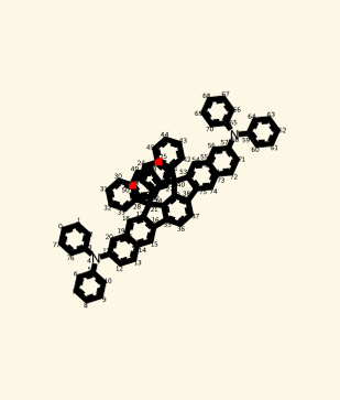 c1ccc(N(c2ccccc2)c2ccc3cc4c(cc3c2)C(c2ccccc2)(c2ccccc2)c2c-4ccc3c2C(c2ccccc2)(c2ccccc2)c2cc4cc(N(c5ccccc5)c5ccccc5)ccc4cc2-3)cc1